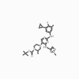 Cc1cc(Nc2ncc(N3CCN(C(=O)OC(C)(C)C)C(C)C3)c(Nc3cnn(C)n3)n2)cc(C2CC2)c1F